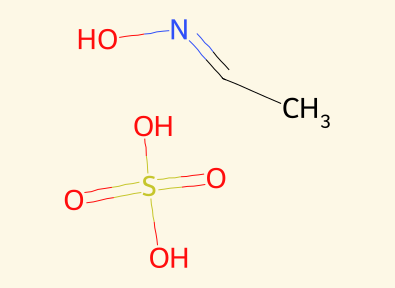 C/C=N/O.O=S(=O)(O)O